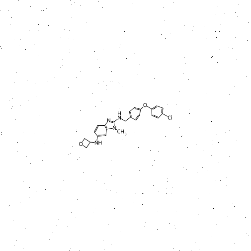 Cn1c(NCc2ccc(Oc3ccc(Cl)cc3)cc2)nc2ccc(NC3COC3)cc21